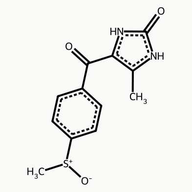 Cc1[nH]c(=O)[nH]c1C(=O)c1ccc([S+](C)[O-])cc1